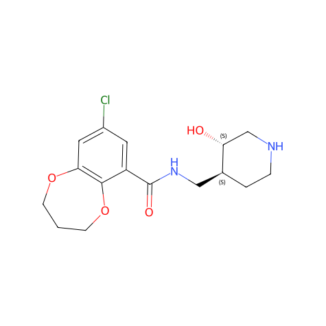 O=C(NC[C@@H]1CCNC[C@H]1O)c1cc(Cl)cc2c1OCCCO2